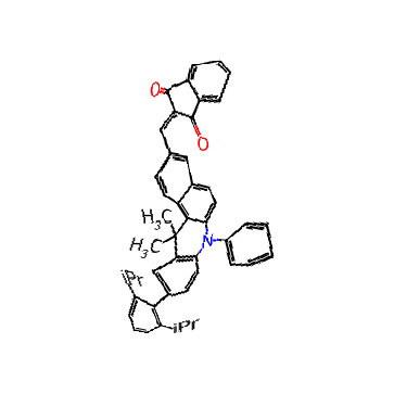 CC(C)c1cccc(C(C)C)c1-c1ccc2c(c1)C(C)(C)c1c(ccc3cc(C=C4C(=O)c5ccccc5C4=O)ccc13)N2c1ccccc1